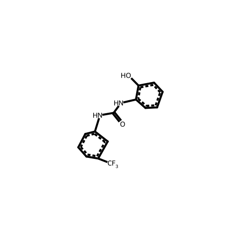 O=C(Nc1cccc(C(F)(F)F)c1)Nc1ccccc1O